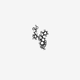 COC(=O)CCc1cc(-c2nc(-c3ccccc3F)c3c(n2)[C@]2(C)CCC4(OCCO4)[C@H](C)[C@H]2CC3)ccn1